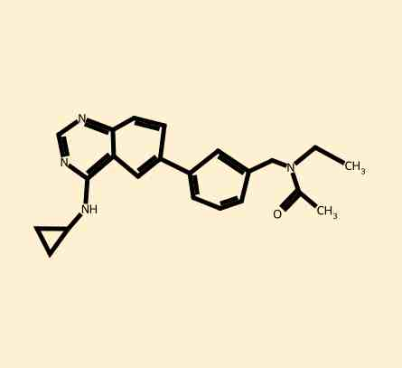 CCN(Cc1cccc(-c2ccc3ncnc(NC4CC4)c3c2)c1)C(C)=O